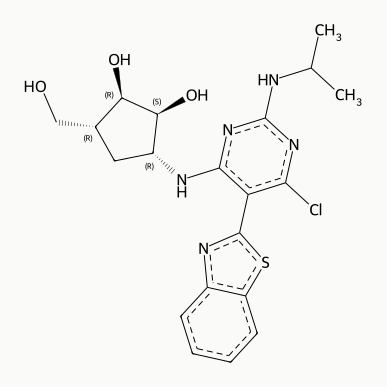 CC(C)Nc1nc(Cl)c(-c2nc3ccccc3s2)c(N[C@@H]2C[C@H](CO)[C@@H](O)[C@H]2O)n1